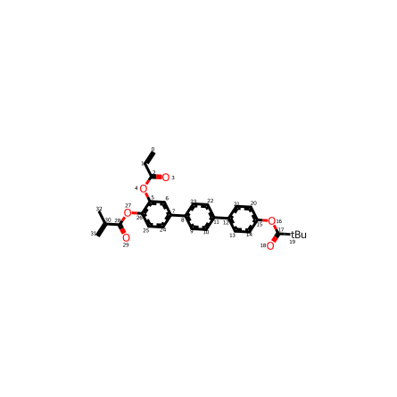 C=CC(=O)Oc1cc(-c2ccc(-c3ccc(OC(=O)C(C)(C)C)cc3)cc2)ccc1OC(=O)C(=C)C